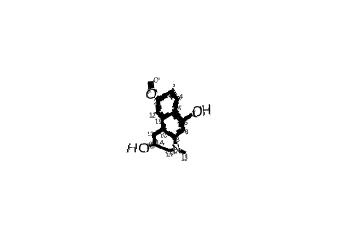 COc1ccc2c(O)cc3c(c2c1)C[C@H](O)CN3C